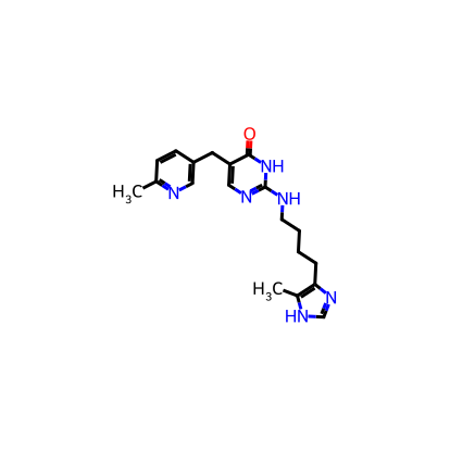 Cc1ccc(Cc2cnc(NCCCCc3nc[nH]c3C)[nH]c2=O)cn1